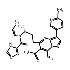 C/C=C\N(C(=O)c1nnc[nH]1)[C@H](C)CCc1nc2c(-c3ccc(N)nc3)cnn2c(N)c1C(C)=O